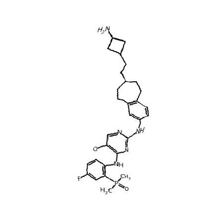 CP(C)(=O)c1cc(F)ccc1Nc1nc(Nc2ccc3c(c2)CC[C@@H](CCC2CC(N)C2)CC3)ncc1Cl